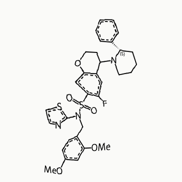 COc1ccc(CN(c2nccs2)S(=O)(=O)c2cc3c(cc2F)C(N2CCCC[C@H]2c2ccccc2)CCO3)c(OC)c1